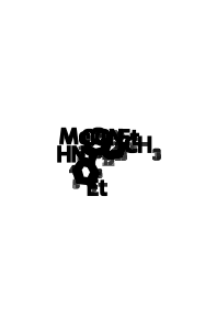 CCOC(=O)c1[nH]c2ccc(CC)cc2c1-c1ccc(C)nc1OC